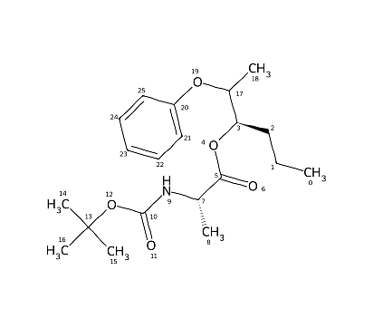 CCC[C@@H](OC(=O)[C@H](C)NC(=O)OC(C)(C)C)C(C)Oc1ccccc1